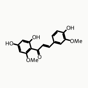 COc1cc(/C=C/C(=O)c2c(O)cc(O)cc2OC)ccc1O